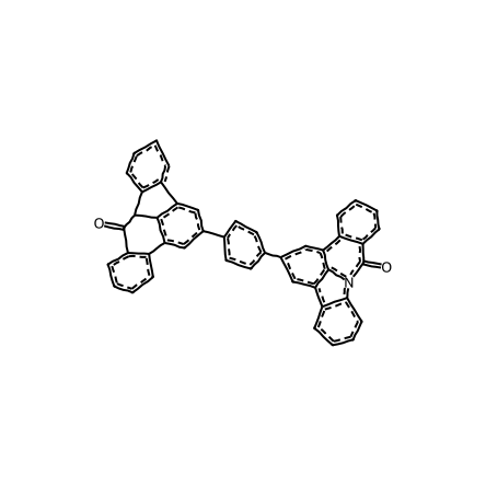 O=C1c2ccccc2-c2cc(-c3ccc(-c4cc5c6ccccc6c(=O)n6c7ccccc7c(c4)c56)cc3)cc3c2C1c1ccccc1-3